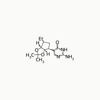 CC[C@H]1C[C@@H](c2cnc(N)[nH]c2=O)[C@@H]2OC(C)(C)O[C@H]12